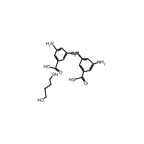 Nc1cc(N)cc(C(=O)O)c1.Nc1cc(N)cc(C(=O)O)c1.OCCCCO